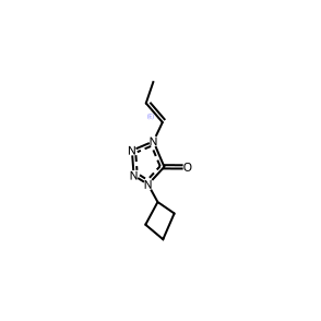 C/C=C/n1nnn(C2CCC2)c1=O